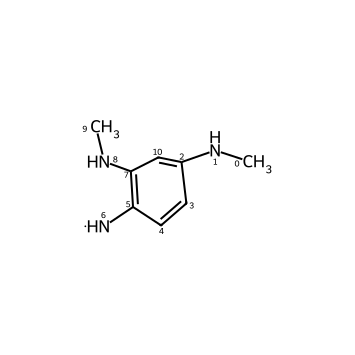 CNc1ccc([NH])c(NC)c1